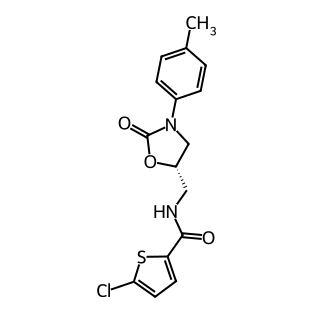 Cc1ccc(N2C[C@H](CNC(=O)c3ccc(Cl)s3)OC2=O)cc1